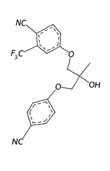 CC(O)(COc1ccc(C#N)cc1)COc1ccc(C#N)c(C(F)(F)F)c1